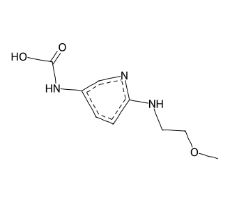 COCCNc1ccc(NC(=O)O)cn1